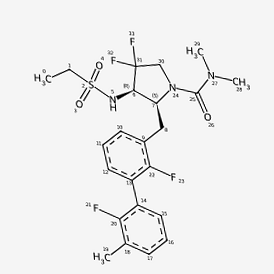 CCS(=O)(=O)N[C@@H]1[C@H](Cc2cccc(-c3cccc(C)c3F)c2F)N(C(=O)N(C)C)CC1(F)F